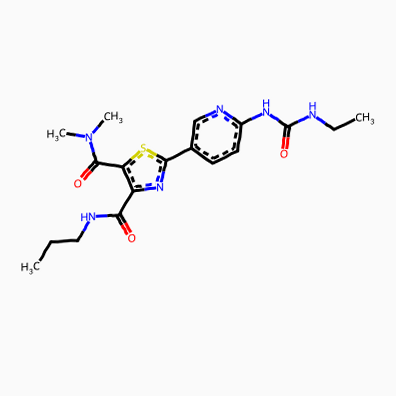 CCCNC(=O)c1nc(-c2ccc(NC(=O)NCC)nc2)sc1C(=O)N(C)C